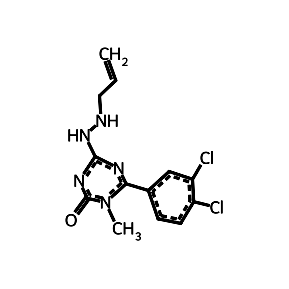 C=CCNNc1nc(-c2ccc(Cl)c(Cl)c2)n(C)c(=O)n1